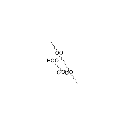 CCCCCCOC(=O)CCCCCCCCC(=O)OCCCCCC.O=C(O)CCCCC(=O)O